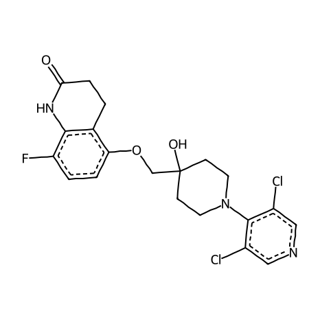 O=C1CCc2c(OCC3(O)CCN(c4c(Cl)cncc4Cl)CC3)ccc(F)c2N1